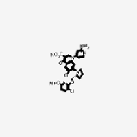 COc1ccc(Cl)c(OC[C@H]2CCCN2c2cc3c(cc2Cl)c(=O)c(C(=O)O)cn3-c2ccnc(N)c2)n1